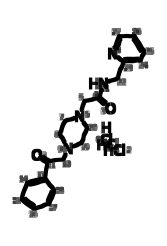 Cl.Cl.Cl.O=C(CN1CCN(CC(=O)c2ccccc2)CC1)NCc1ccccn1